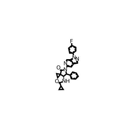 O=C(N[C@@H]1C(c2ccccc2)N(c2cc3cnn(-c4ccc(F)cc4)c3cn2)C(=O)C12CC2)C1CC1